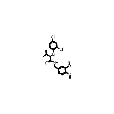 COc1ccc(CNC(=O)C(Oc2ccc(Cl)cc2Cl)C(C)C)cc1OC